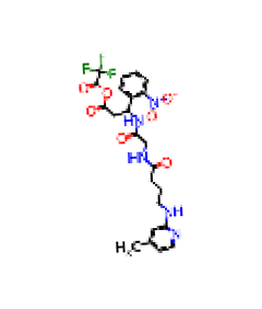 Cc1ccnc(NCCCC(=O)NCC(=O)NC(CC(=O)OC(=O)C(F)(F)F)c2ccccc2[N+](=O)[O-])c1